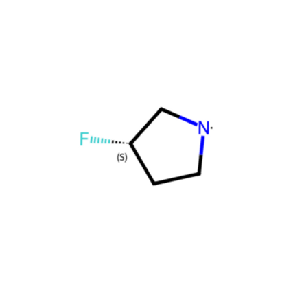 F[C@H]1CC[N]C1